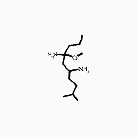 CCCC(N)(CC(N)CCC(C)C)OC